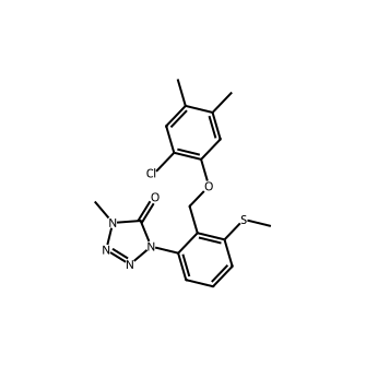 CSc1cccc(-n2nnn(C)c2=O)c1COc1cc(C)c(C)cc1Cl